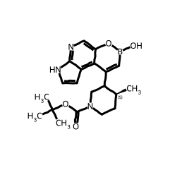 C[C@H]1CCN(C(=O)OC(C)(C)C)CC1C1=CB(O)Oc2cnc3[nH]ccc3c21